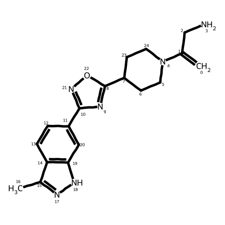 C=C(CN)N1CCC(c2nc(-c3ccc4c(C)n[nH]c4c3)no2)CC1